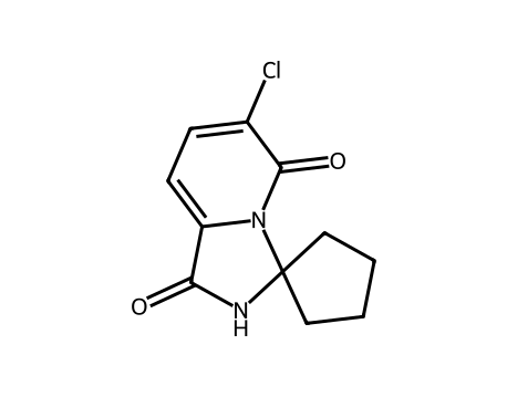 O=C1NC2(CCCC2)n2c1ccc(Cl)c2=O